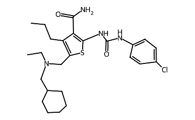 CCCc1c(CN(CC)CC2CCCCC2)sc(NC(=O)Nc2ccc(Cl)cc2)c1C(N)=O